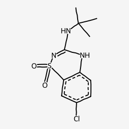 CC(C)(C)NC1=NS(=O)(=O)c2cc(Cl)ccc2N1